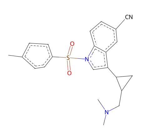 Cc1ccc(S(=O)(=O)n2cc(C3CC3CN(C)C)c3cc(C#N)ccc32)cc1